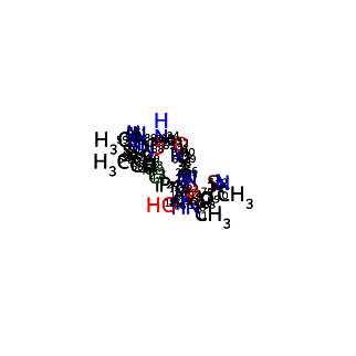 Cc1ncsc1-c1ccc([C@H](C)NC(=O)[C@@H]2C[C@@H](O)CN2C(=O)[C@@H](C(C)C)n2cc(-c3ccc(O[C@H]4C[C@H](NC(=O)C[C@@H]5N=C(c6ccc(Cl)cc6)c6c(sc(C)c6C)-n6c(C)nnc65)C4)nc3)cn2)cc1